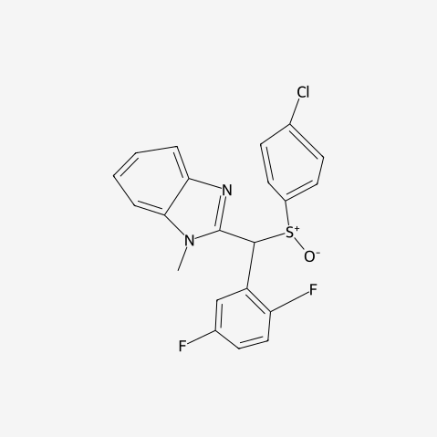 Cn1c(C(c2cc(F)ccc2F)[S+]([O-])c2ccc(Cl)cc2)nc2ccccc21